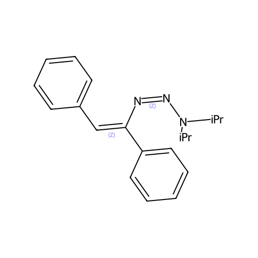 CC(C)N(/N=N\C(=C/c1ccccc1)c1ccccc1)C(C)C